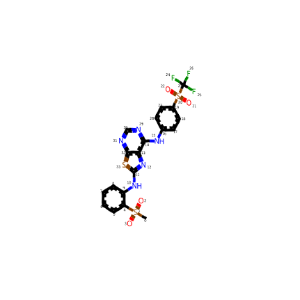 CS(=O)(=O)c1ccccc1Nc1nc2c(Nc3ccc(S(=O)(=O)C(F)(F)F)cc3)ncnc2s1